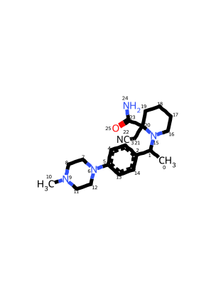 CC(c1ccc(N2CCN(C)CC2)cc1)N1CCCCC1(CC#N)C(N)=O